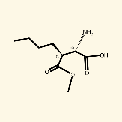 CCCC[C@H](C(=O)OC)[C@H](N)C(=O)O